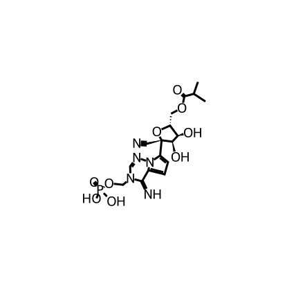 CC(C)C(=O)OC[C@H]1O[C@@](C#N)(c2ccc3c(=N)n(COP(=O)(O)O)cnn23)[C@H](O)[C@@H]1O